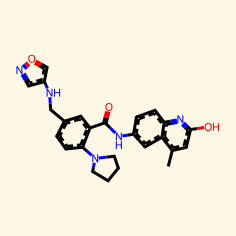 Cc1cc(O)nc2ccc(NC(=O)c3cc(CNc4cnoc4)ccc3N3CCCC3)cc12